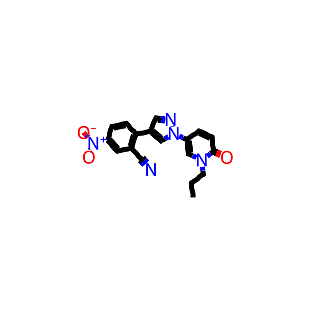 CCCn1cc(-n2cc(-c3ccc([N+](=O)[O-])cc3C#N)cn2)ccc1=O